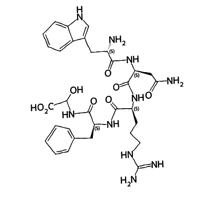 N=C(N)NCCC[C@H](NC(=O)[C@H](CC(N)=O)NC(=O)[C@@H](N)Cc1c[nH]c2ccccc12)C(=O)N[C@@H](Cc1ccccc1)C(=O)NC(O)C(=O)O